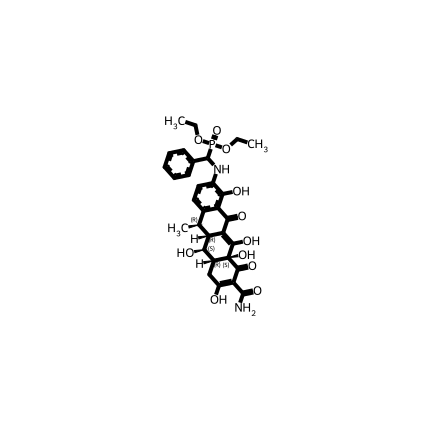 CCOP(=O)(OCC)C(Nc1ccc2c(c1O)C(=O)C1=C(O)[C@]3(O)C(=O)C(C(N)=O)=C(O)C[C@@H]3[C@@H](O)[C@@H]1[C@H]2C)c1ccccc1